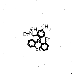 CCc1cccc[c]1[Bi]([c]1ccccc1CC)[c]1ccc(C)cc1CN(C)CC